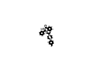 Cc1ccc(N2CCN(C(C)CN3c4ccccc4C(=O)NC3c3ccccc3)CC2)cc1